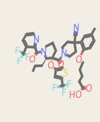 CCC[C@H]1N(C(=O)c2ncccc2C(F)(F)F)CCC[C@@]1(Oc1csc(C(F)(F)F)c1)C(=O)N1CCC(C#N)(c2cc(C)ccc2OCCCCC(=O)O)CC1